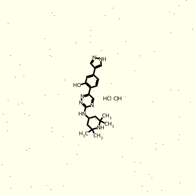 CC1(C)CC(Nc2ncc(-c3ccc(-c4cn[nH]c4)cc3O)nn2)CC(C)(C)N1.Cl.Cl